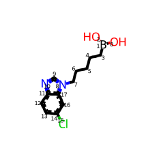 OB(O)CCCCCn1cnc2ccc(Cl)cc21